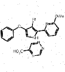 CCc1c(Oc2ccccc2)c[nH]c1-c1cccc(OC)n1.O=C(O)c1cnncn1